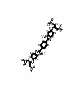 CN(C)CC(CN(C)C)Oc1ccc2nc(-c3ccc(-c4nc5ccc(OC(CN(C)C)CN(C)C)cc5[nH]4)cc3)[nH]c2c1